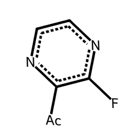 CC(=O)c1nccnc1F